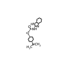 CN(C)c1ccc(C2CC2C(=O)Nc2nc3ccccc3[nH]2)cc1